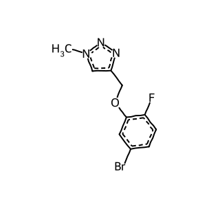 Cn1cc(COc2cc(Br)ccc2F)nn1